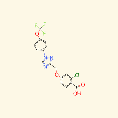 O=C(O)c1ccc(OCc2ncn(-c3ccc(OC(F)(F)F)cc3)n2)cc1Cl